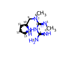 C/N=C(\NC(=N)N)N(C)Cc1ccc[nH]1